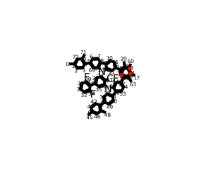 Cc1ccc(-c2ccc3c4ccc(-c5ccc(C)cc5C)cc4n(-c4cc(-c5c(F)cccc5F)cc(-n5c6cc(-c7ccc(C)cc7C)ccc6c6ccc(-c7ccc(C)cc7C)cc65)c4C(F)(F)F)c3c2)c(C)c1